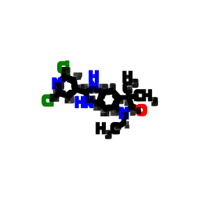 CCN1C(=O)C(C)(C)c2cc3c(cc21)NC(c1cc(Cl)nc(Cl)c1)N3